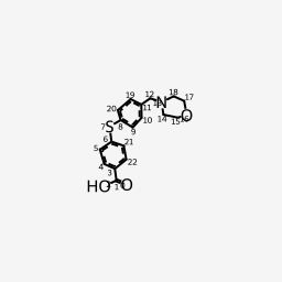 O=C(O)c1ccc(Sc2ccc(CN3CCOCC3)cc2)cc1